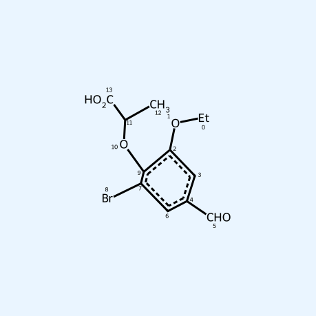 CCOc1cc(C=O)cc(Br)c1OC(C)C(=O)O